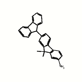 CC1(C)c2cc(N)ccc2-c2ccc(C3c4ccccc4-c4ccccc43)cc21